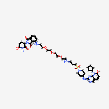 O=C1CCC(N2C(=O)c3cccc(NCCOCCOCCOCCNCCCS(=O)(=O)N4CCC(Nc5ncc6ccc(=O)n(C7CCCC7)c6n5)CC4)c3C2=O)C(=O)N1